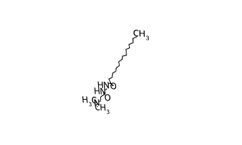 CCCCCCCCCCCCCCCCCC(=O)NCNC(=O)CCN(C)C